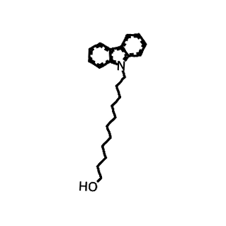 OCCCCCCCCCCCn1c2ccccc2c2ccccc21